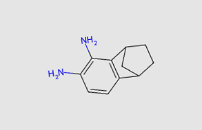 Nc1ccc2c(c1N)C1CCC2C1